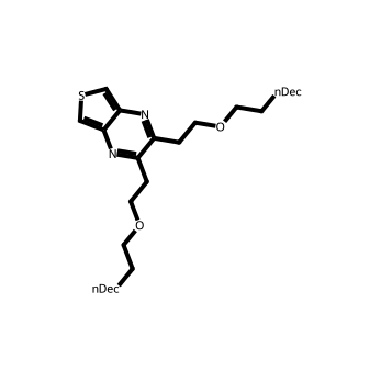 CCCCCCCCCCCCOCCc1nc2cscc2nc1CCOCCCCCCCCCCCC